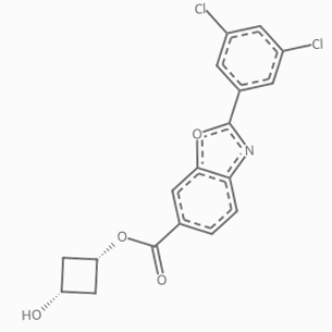 O=C(O[C@H]1C[C@@H](O)C1)c1ccc2nc(-c3cc(Cl)cc(Cl)c3)oc2c1